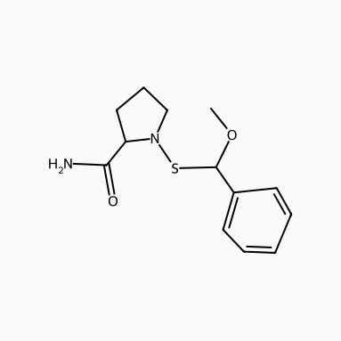 COC(SN1CCCC1C(N)=O)c1ccccc1